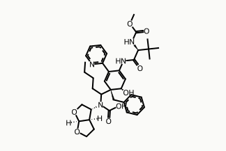 CCCCC(N(C(=O)O)[C@H]1CO[C@@H]2OCC[C@@H]21)[C@]1(Cc2ccccc2)C=C(c2ccccn2)C(NC(=O)[C@@H](NC(=O)OC)C(C)(C)C)=C[C@@H]1O